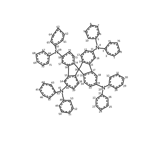 c1ccc(N(c2ccccc2)c2ccc3c(c2)-c2cc(N(c4ccccc4)c4ccccc4)ccc2C32c3ccc(N(c4ccccc4)c4ccccc4)cc3-c3cc(N(c4ccccc4)c4ccccc4)ccc32)cc1